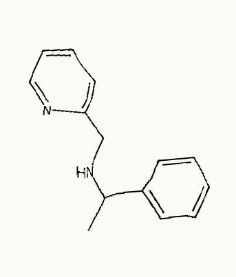 CC(NCc1ccccn1)c1ccccc1